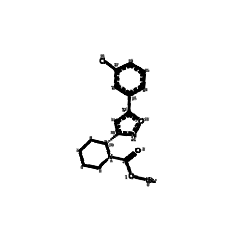 CC(C)(C)OC(=O)N1CCCC[C@@H]1c1cc(-c2cccc(Cl)c2)on1